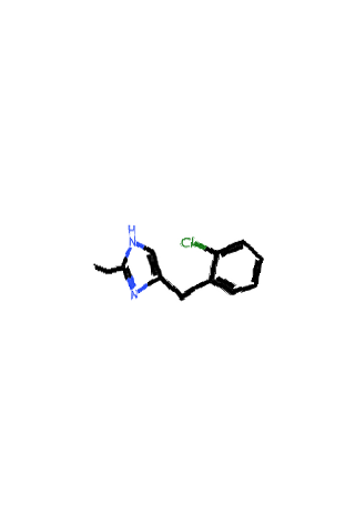 Cc1nc(Cc2ccccc2Cl)c[nH]1